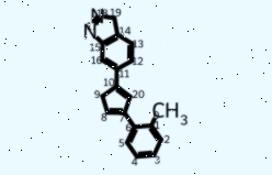 Cc1ccccc1C1=CCC(c2ccc3c(c2)N=NC3)=C1